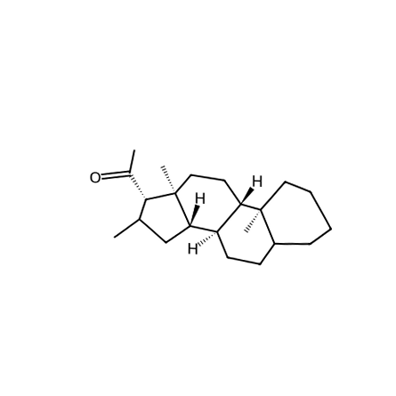 CC(=O)[C@H]1C(C)C[C@H]2[C@@H]3CCC4CCCC[C@]4(C)[C@H]3CC[C@]12C